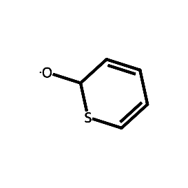 [O]C1C=CC=CS1